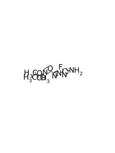 CC(C)(C)OC(=O)N1CCOC(c2cn(-c3ncc(N)cc3F)cn2)C1